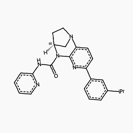 CC(C)c1cccc(-c2ccc3c(n2)N(C(=O)Nc2ccccn2)[C@H]2CCN3C2)c1